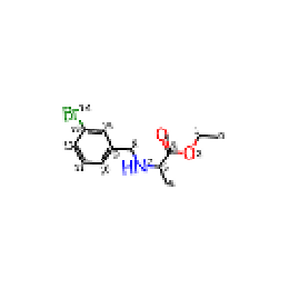 CCOC(=O)C(C)NCc1cccc(Br)c1